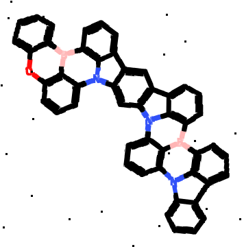 c1ccc2c(c1)Oc1cccc3c1B2c1cccc2c4cc5c6cccc7c6n(c5cc4n-3c12)-c1cccc2c1B7c1cccc3c4ccccc4n-2c13